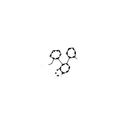 CCc1ccccc1-c1c(-c2ccccc2C)ccc2[nH]nnc12